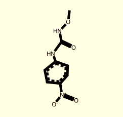 CONC(=O)Nc1ccc([N+](=O)[O-])cc1